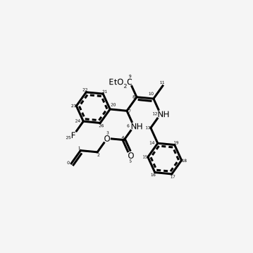 C=CCOC(=O)NC(C(C(=O)OCC)=C(C)NCc1ccccc1)c1cccc(F)c1